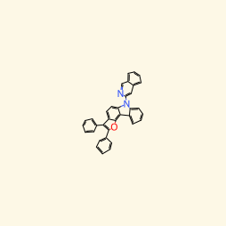 c1ccc(-c2oc3c(ccc4c3c3ccccc3n4-c3cc4ccccc4cn3)c2-c2ccccc2)cc1